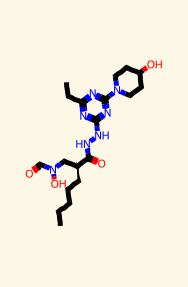 CCCCC[C@@H](CN(O)C=O)C(=O)NNc1nc(CC)nc(N2CCC(O)CC2)n1